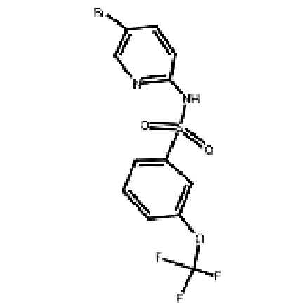 O=S(=O)(Nc1ccc(Br)cn1)c1cccc(OC(F)(F)F)c1